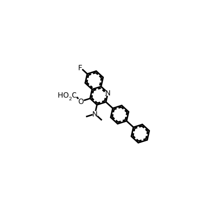 CN(C)c1c(-c2ccc(-c3ccccc3)cc2)nc2ccc(F)cc2c1OC(=O)O